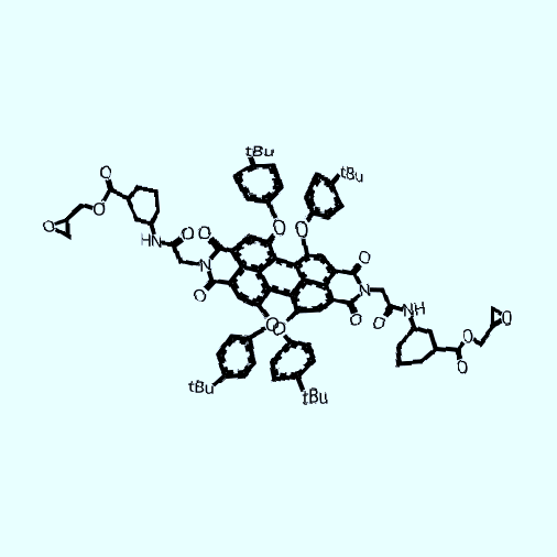 CC(C)(C)c1ccc(Oc2cc3c4c(cc(Oc5ccc(C(C)(C)C)cc5)c5c6c(Oc7ccc(C(C)(C)C)cc7)cc7c8c(cc(Oc9ccc(C(C)(C)C)cc9)c(c2c45)c86)C(=O)N(CC(=O)NC2CCCC(C(=O)OCC4CO4)C2)C7=O)C(=O)N(CC(=O)NC2CCCC(C(=O)OCC4CO4)C2)C3=O)cc1